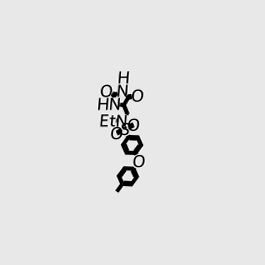 CCN(CC1NC(=O)NC1=O)S(=O)(=O)c1ccc(Oc2ccc(C)cc2)cc1